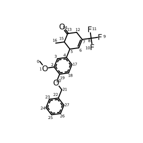 COc1cc(C2C=C(C(F)(F)F)CC(=O)C2C)ccc1OCc1ccccc1